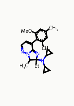 CCC1(N(C2CC2)C2CC2)N=C2C(c3c(C)cc(C)cc3OC)=CC=NN2C1C